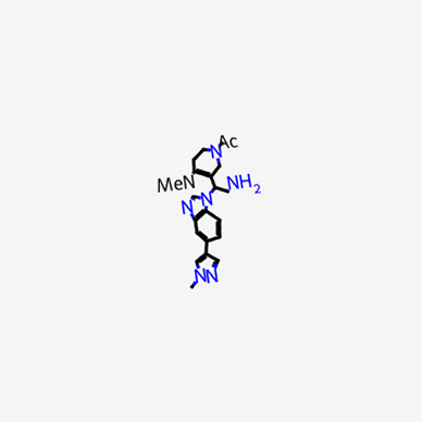 CNC1=C(C(CN)n2cnc3cc(-c4cnn(C)c4)ccc32)CN(C(C)=O)CC1